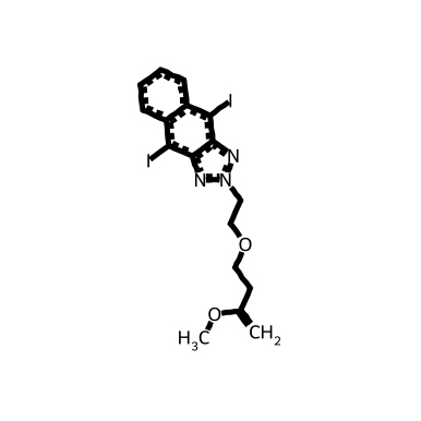 C=C(CCOCCn1nc2c(I)c3ccccc3c(I)c2n1)OC